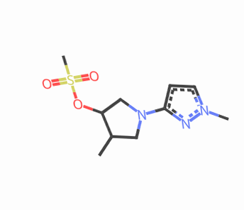 CC1CN(c2ccn(C)n2)CC1OS(C)(=O)=O